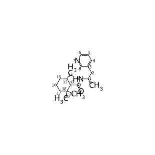 CC(Cc1cccnc1)NC(=O)C1C(C)CCCC1(C)C